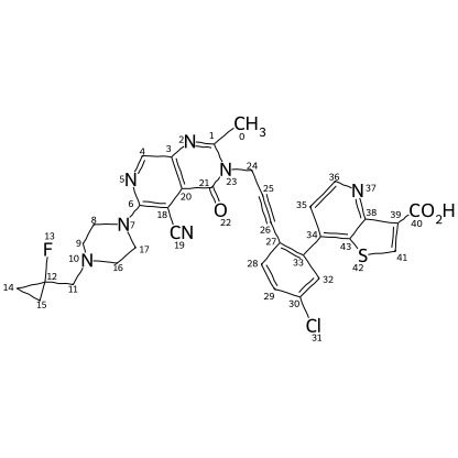 Cc1nc2cnc(N3CCN(CC4(F)CC4)CC3)c(C#N)c2c(=O)n1CC#Cc1ccc(Cl)cc1-c1ccnc2c(C(=O)O)csc12